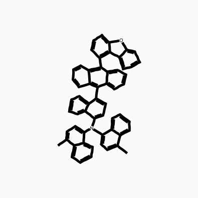 Cc1ccc(N(c2ccc(C)c3ccccc23)c2ccc(-c3c4ccccc4c(-c4cccc5oc6ccccc6c45)c4ccccc34)c3ccccc23)c2ccccc12